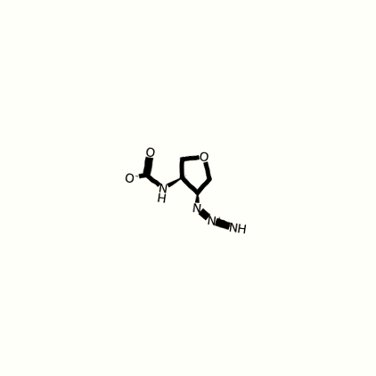 N=[N+]=N[C@@H]1COC[C@@H]1NC(=O)[O-]